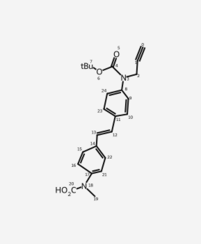 C#CCN(C(=O)OC(C)(C)C)c1ccc(C=Cc2ccc(N(C)C(=O)O)cc2)cc1